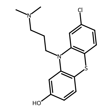 CN(C)CCCN1c2cc(O)ccc2Sc2ccc(Cl)cc21